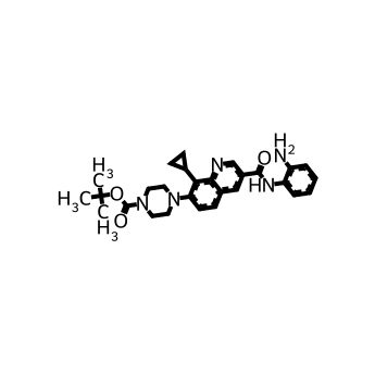 CC(C)(C)OC(=O)N1CCN(c2ccc3cc(C(=O)Nc4ccccc4N)cnc3c2C2CC2)CC1